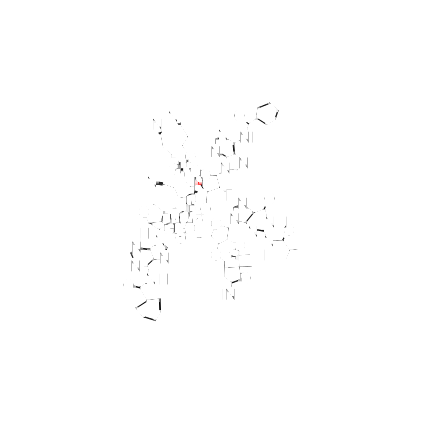 CNC(=O)CCOC1[C@@H](COP(=O)(OCCC#N)OC2[C@@H]3OC[C@]2(COP(=O)(OCCC#N)OC2[C@@H](COP(=O)(OCCC#N)OCCC#N)O[C@@H](n4cnc5c(NC(=O)c6ccccc6)ncnc54)[C@H]2F)O[C@H]3n2cnc3c(NC(=O)c4ccccc4)ncnc32)O[C@@H](n2cnc3c(=O)[nH]c(NC(=O)C(C)C)nc32)[C@H]1O[Si](C)(C)C(C)(C)C